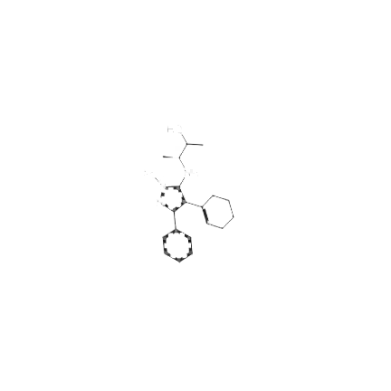 CC(=O)n1nc(-c2ccccc2)c(C2=CCCCC2)c1N[C@@H](C)C(C)O